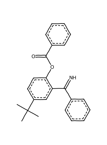 CC(C)(C)c1ccc(OC(=O)c2ccccc2)c(C(=N)c2ccccc2)c1